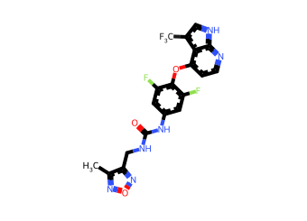 Cc1nonc1CNC(=O)Nc1cc(F)c(Oc2ccnc3[nH]cc(C(F)(F)F)c23)c(F)c1